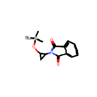 CC(C)(C)[Si](C)(C)OC1CC1N1C(=O)c2ccccc2C1=O